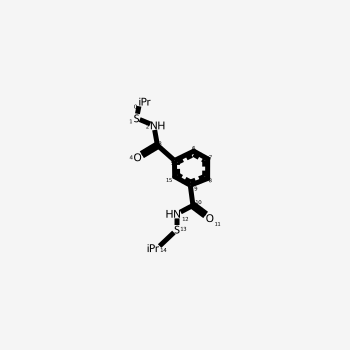 CC(C)SNC(=O)c1cccc(C(=O)NSC(C)C)c1